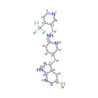 FC(F)(F)c1ccncc1CNc1ccc(Cc2c[nH]c3ncc(Cl)cc23)cn1